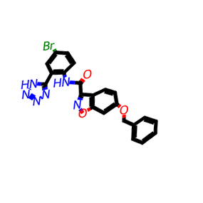 O=C(Nc1ccc(Br)cc1-c1nnn[nH]1)c1noc2cc(OCc3ccccc3)ccc12